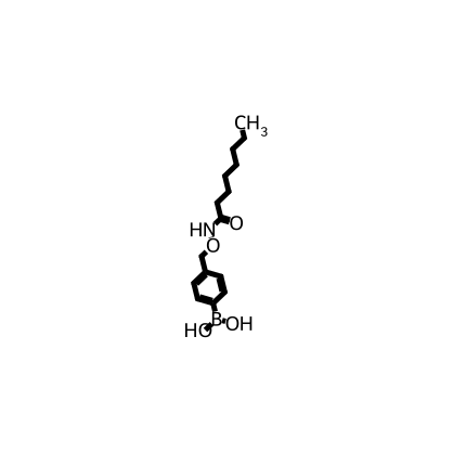 CCCCCCCC(=O)NOCc1ccc(B(O)O)cc1